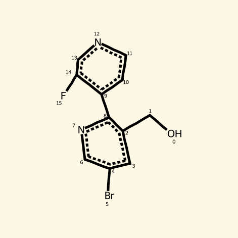 OCc1cc(Br)cnc1-c1ccncc1F